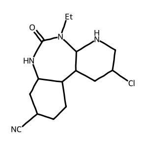 CCN1C(=O)NC2CC(C#N)CCC2C2CC(Cl)CNC21